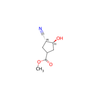 COC(=O)C1C[C@H](O)[C@@H](C#N)C1